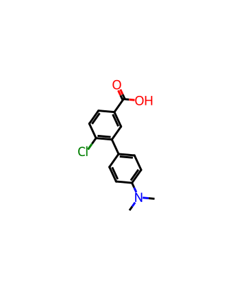 CN(C)c1ccc(-c2cc(C(=O)O)ccc2Cl)cc1